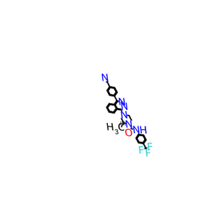 C[C@H]1CN(c2nnc(-c3ccc(C#N)cc3)c3ccccc23)CCN1C(=O)Nc1ccc(C(F)(F)F)cc1